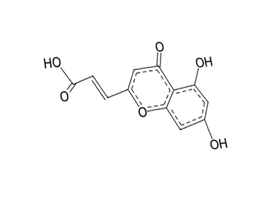 O=C(O)C=Cc1cc(=O)c2c(O)cc(O)cc2o1